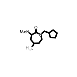 CNC1CC(C)CCN(CC2CCCC2)C1=O